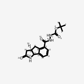 CC(C)(C)OC(=O)NNC(=O)c1cccc2c1C[C@@H]1CC(=O)NC21